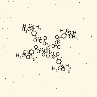 C[Si](C)(C)c1ccc(C(=O)OOC(=O)OCC(COC(=O)OOC(=O)c2ccc([Si](C)(C)C)cc2)(COC(=O)OOC(=O)c2ccc([Si](C)(C)C)cc2)COC(=O)OOC(=O)c2ccc([Si](C)(C)C)cc2)cc1